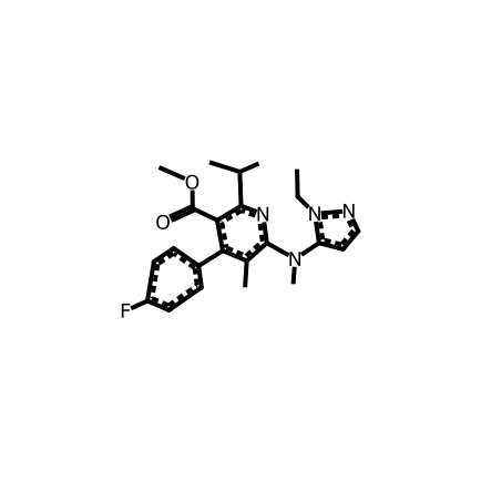 CCn1nccc1N(C)c1nc(C(C)C)c(C(=O)OC)c(-c2ccc(F)cc2)c1C